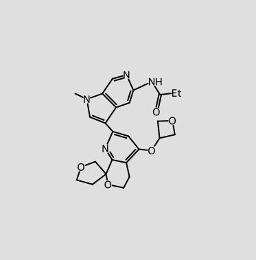 CCC(=O)Nc1cc2c(-c3cc(OC4COC4)c4c(n3)C3(CCOC3)OCC4)cn(C)c2cn1